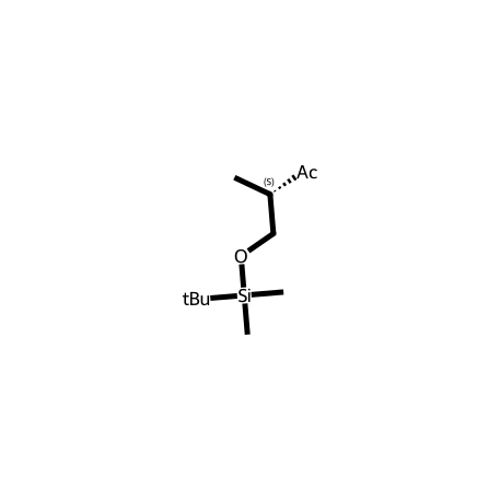 CC(=O)[C@@H](C)CO[Si](C)(C)C(C)(C)C